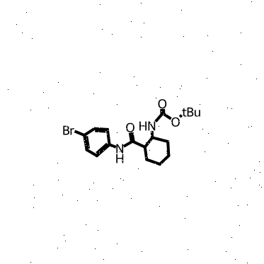 CC(C)(C)OC(=O)NC1CCCCC1C(=O)Nc1ccc(Br)cc1